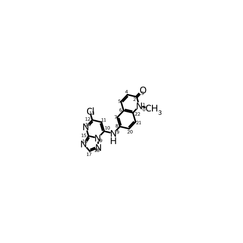 Cn1c(=O)ccc2cc(Nc3cc(Cl)nc4ncnn34)ccc21